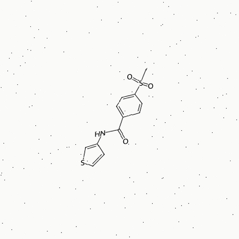 CS(=O)(=O)c1ccc(C(=O)Nc2ccsc2)cc1